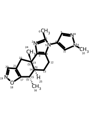 Cc1nc2c(n1-c1cnn(C)c1)CC[C@H]1[C@H](C)c3oncc3C[C@]21C